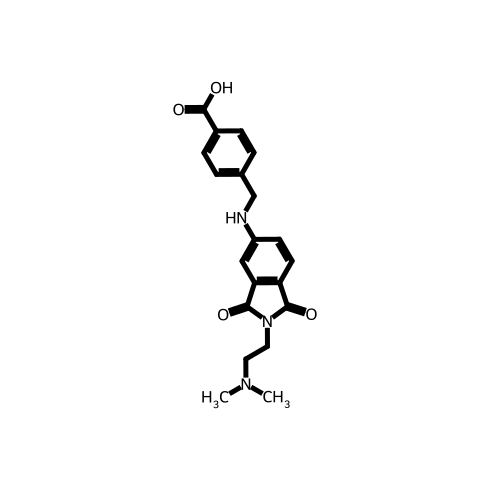 CN(C)CCN1C(=O)c2ccc(NCc3ccc(C(=O)O)cc3)cc2C1=O